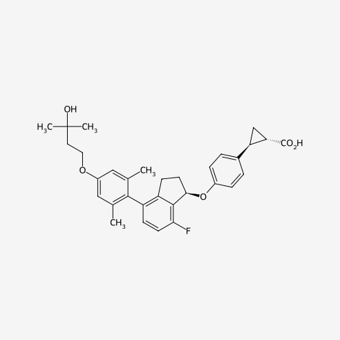 Cc1cc(OCCC(C)(C)O)cc(C)c1-c1ccc(F)c2c1CC[C@H]2Oc1ccc([C@H]2C[C@@H]2C(=O)O)cc1